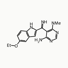 CCOc1ccc2[nH]c(C(=N)c3c(N)ncnc3NC)cc2c1